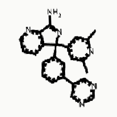 Cc1cc(C2(c3cccc(-c4cncnc4)c3)N=C(N)c3ncccc32)cc(C)n1